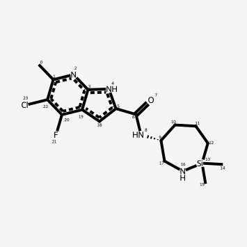 Cc1nc2[nH]c(C(=O)N[C@@H]3CCC[Si](C)(C)NC3)cc2c(F)c1Cl